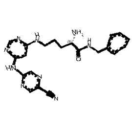 N#Cc1cnc(Nc2cc(NCCC[C@H](N)C(=O)NCc3ccccc3)ncn2)cn1